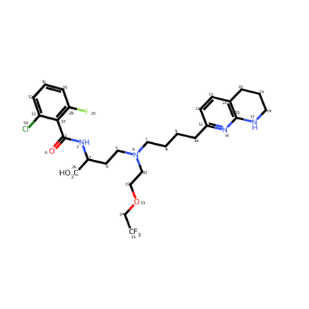 O=C(NC(CCN(CCCCc1ccc2c(n1)NCCC2)CCOCC(F)(F)F)C(=O)O)c1c(F)cccc1Cl